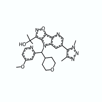 COc1ccnc(C(C2CCOCC2)n2c3cc(-c4c(C)nnn4C)cnc3c3onc(C(C)(C)O)c32)c1